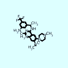 COc1cc2nc(C)nc(N[C@H](C)c3cc(N)cc(C(F)(F)F)c3)c2cc1P1(=O)CCN(C)CC1